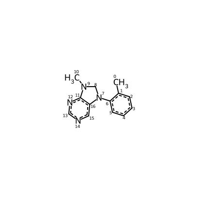 Cc1ccccc1N1CN(C)c2ncncc21